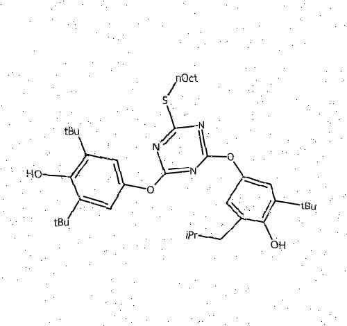 CCCCCCCCSc1nc(Oc2cc(CC(C)C)c(O)c(C(C)(C)C)c2)nc(Oc2cc(C(C)(C)C)c(O)c(C(C)(C)C)c2)n1